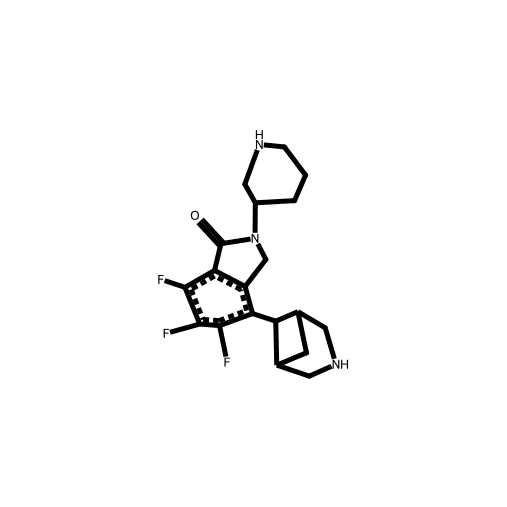 O=C1c2c(F)c(F)c(F)c(C3C4CNCC3C4)c2CN1C1CCCNC1